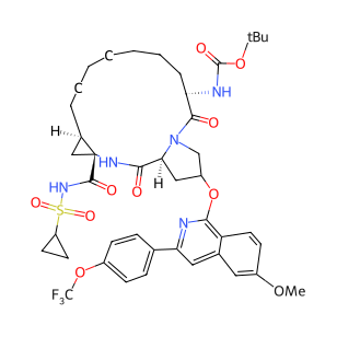 COc1ccc2c(OC3C[C@H]4C(=O)N[C@]5(C(=O)NS(=O)(=O)C6CC6)C[C@H]5CCCCCCC[C@H](NC(=O)OC(C)(C)C)C(=O)N4C3)nc(-c3ccc(OC(F)(F)F)cc3)cc2c1